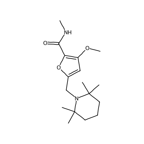 CNC(=O)c1oc(CN2C(C)(C)CCCC2(C)C)cc1OC